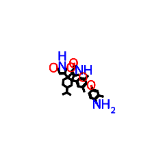 Cc1cc(Oc2c(C)cc(C3(C4=CC(=O)NC4=O)CC(C(C)C)CCC3(C)C3=CC(=O)NC3=O)cc2C)ccc1N